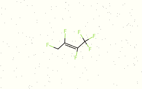 FCC(F)=C(F)C(F)(F)F